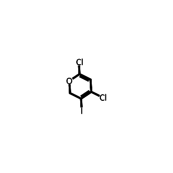 ClC1=CC(Cl)=C(I)CO1